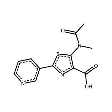 CC(=O)N(C)c1sc(-c2cccnc2)nc1C(=O)O